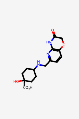 O=C1COc2ccc(CNC3CCC(O)(C(=O)O)CC3)nc2N1